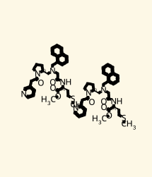 COC(=O)[C@H](CCSC)NC(=O)CN(Cc1cccc2ccccc12)C[C@@H]1CCCN1C(=O)Cc1ccccn1.COC(=O)[C@H](CCSC)NC(=O)CN(Cc1cccc2ccccc12)C[C@@H]1CCCN1C(=O)Cc1cccnc1